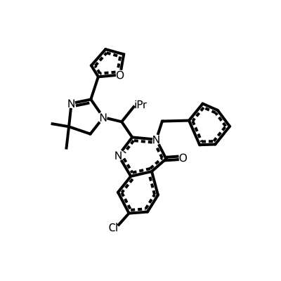 CC(C)C(c1nc2cc(Cl)ccc2c(=O)n1Cc1ccccc1)N1CC(C)(C)N=C1c1ccco1